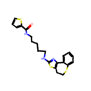 O=C(NCCCCCNc1nc2c(s1)CCSc1ccccc1-2)c1cccs1